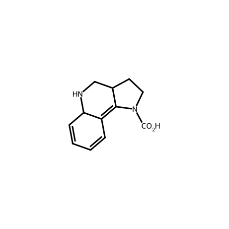 O=C(O)N1CCC2CNC3C=CC=CC3=C21